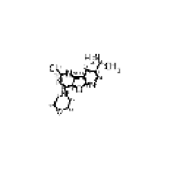 C[C@@H](N)c1cnc2oc3c(N4CCOCC4)nc(Cl)nc3c2c1